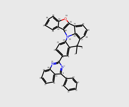 CC1(C)c2cc(-c3nc(-c4ccccc4)c4ccccc4n3)ccc2-n2c3c1cccc3c1oc3ccccc3c12